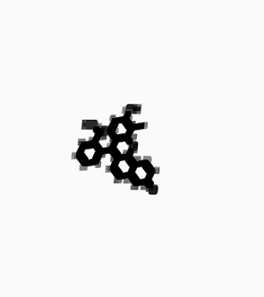 Cc1c(O)ccc2c(-c3ccccc3C(=O)O)c3ccc4cc(=O)ccc4c3oc12